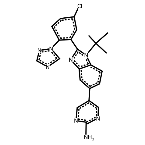 CC(C)(C)n1c(-c2cc(Cl)ccc2-n2cncn2)nc2cc(-c3cnc(N)nc3)ccc21